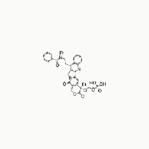 CCC1(OCOP(=O)(O)O)C(=O)OCc2c1cc1n(c2=O)Cc2c-1nc1ccccc1c2CCN(C(=O)c1ccccc1)C(C)C